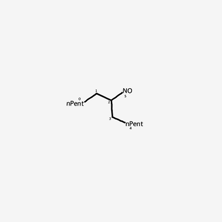 CCCCCCC(CCCCCC)N=O